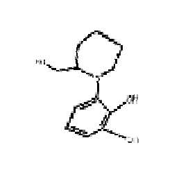 OCC1CCCCN1c1cccc(O)c1O